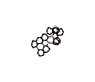 c1ccc(-c2cccc3cccc(-c4ccccc4N(c4cccc(-c5cccc6oc7ccccc7c56)c4)c4ccccc4-n4c5ccccc5c5ccccc54)c23)cc1